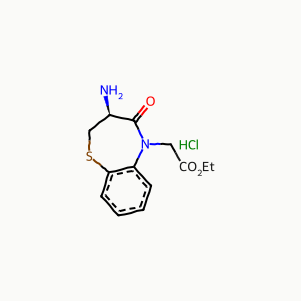 CCOC(=O)CN1C(=O)[C@H](N)CSc2ccccc21.Cl